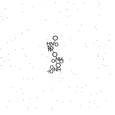 Cn1nc(-c2ccc(NC(=O)c3cc(NC(=O)OC(C)(C)C)ccc3Cl)cc2)cc1NC(=O)c1ccccc1